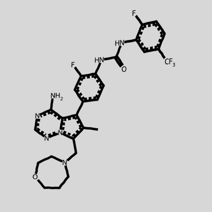 Cc1c(-c2ccc(NC(=O)Nc3cc(C(F)(F)F)ccc3F)c(F)c2)c2c(N)ncnn2c1CN1CCCOCC1